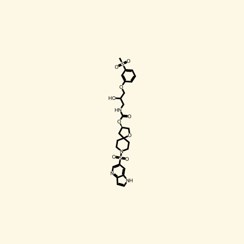 CS(=O)(=O)c1cccc(OCC(O)CNC(=O)O[C@H]2COC3(CCN(S(=O)(=O)c4cnc5cc[nH]c5c4)CC3)C2)c1